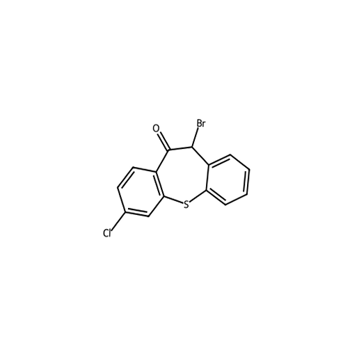 O=C1c2ccc(Cl)cc2Sc2ccccc2C1Br